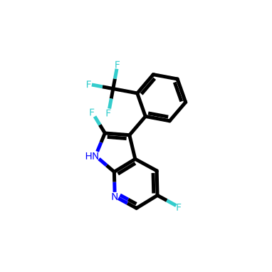 Fc1cnc2[nH]c(F)c(-c3ccccc3C(F)(F)F)c2c1